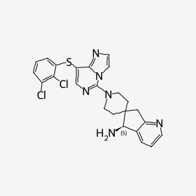 N[C@@H]1c2cccnc2CC12CCN(c1ncc(Sc3cccc(Cl)c3Cl)c3nccn13)CC2